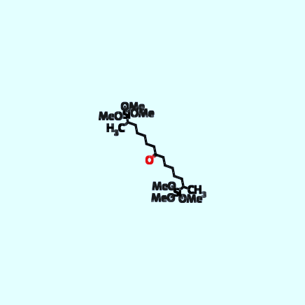 CO[Si](OC)(OC)C(C)CCCCCC(=O)CCCCCC(C)[Si](OC)(OC)OC